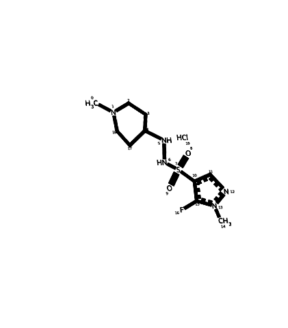 CN1CCC(NNS(=O)(=O)c2cnn(C)c2F)CC1.Cl